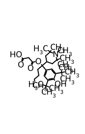 CCCCC(OC(=O)CC(=O)O)(c1cc(C(C)(C)C)c(O)c(C(C)(C)C)c1)C1CC(C)(C)N(C)C(C)(C)C1